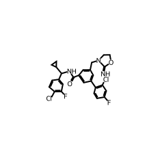 N=C1OCCN1Cc1cc(C(=O)NC(c2ccc(Cl)c(F)c2)C2CC2)cc(-c2ccc(F)cc2Cl)c1